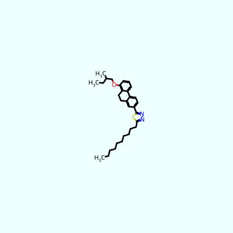 CCCCCCCCCCc1nnc(-c2ccc3c(c2)CCc2c(OCC(C)CC)cccc2-3)s1